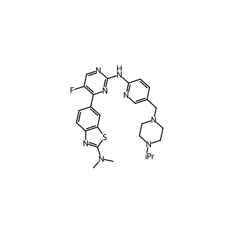 CC(C)N1CCN(Cc2ccc(Nc3ncc(F)c(-c4ccc5nc(N(C)C)sc5c4)n3)nc2)CC1